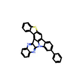 c1ccc(-c2ccc3c4cc5sc6ccccc6c5c5c6nc7ccccc7nc6n(c3c2)c45)cc1